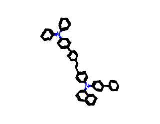 C(=C\c1ccc(N(c2ccc(-c3ccccc3)cc2)c2cccc3ccccc23)cc1)/c1ccc(-c2ccc(N(c3ccccc3)c3ccccc3)cc2)cc1